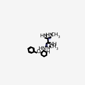 CN/C=C(\C=N)C(=N)/C=C(\NC)N[C@H]1CCCC[C@@H]1OCc1ccccc1